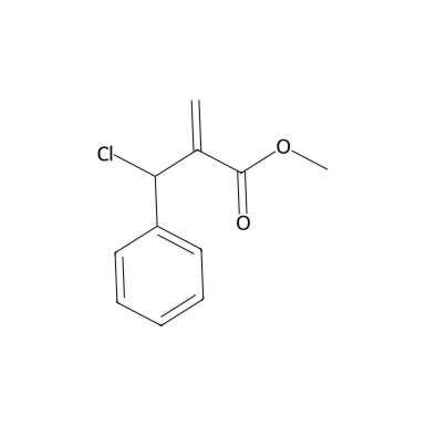 C=C(C(=O)OC)C(Cl)c1ccccc1